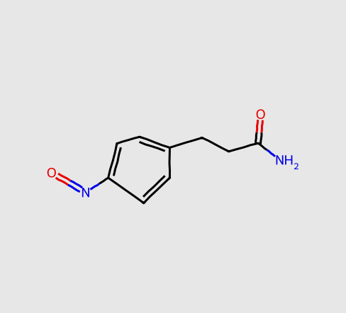 NC(=O)CCc1ccc(N=O)cc1